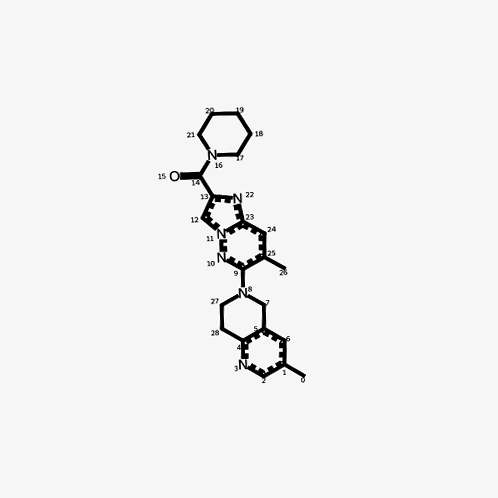 Cc1cnc2c(c1)CN(c1nn3cc(C(=O)N4CCCCC4)nc3cc1C)CC2